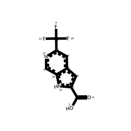 O=C(O)c1cc2cc(C(F)(F)F)ncc2[nH]1